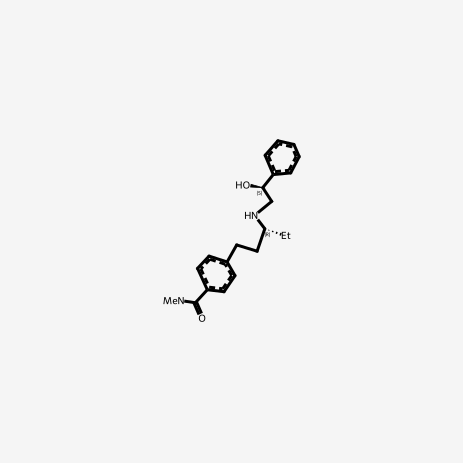 CC[C@H](CCc1ccc(C(=O)NC)cc1)NC[C@@H](O)c1ccccc1